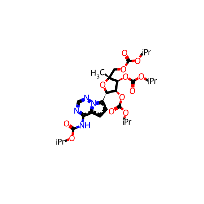 CC(C)OC(=O)Nc1ncnn2c([C@@H]3O[C@](C)(COC(=O)OC(C)C)[C@@H](OC(=O)OC(C)C)[C@H]3OC(=O)OC(C)C)ccc12